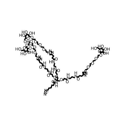 [N-]=[N+]=NCCCCCC(=O)NC(COCCC(=O)NCCCNC(=O)CCc1cn(CCOCCOCCOCCOC2=C(O)C(O)[C@H](O)C(CO)O2)nn1)(COCCC(=O)NCCCNC(=O)CCc1cn(CCOCCOCCOCCOC2=C(O)C(O)[C@H](O)C(CO)O2)nn1)COCCC(=O)NCCCNC(=O)CCc1cn(CCOCCOCCOCCO[C@H]2OC(CO)[C@@H](O)C(O)C2O)nn1